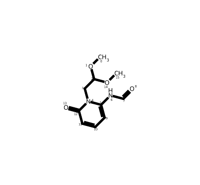 COC(Cn1c(NC=O)cccc1=O)OC